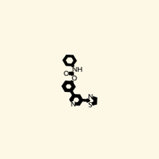 O=C(NC1CCCCC1)Oc1cccc(-c2cncc(-c3nccs3)c2)c1